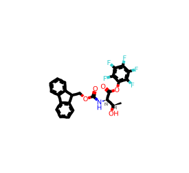 C[C@@H](O)[C@H](NC(=O)OCC1c2ccccc2-c2ccccc21)C(=O)Oc1c(F)c(F)c(F)c(F)c1F